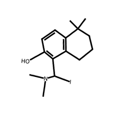 CN(C)C(I)c1c(O)ccc2c1CCCC2(C)C